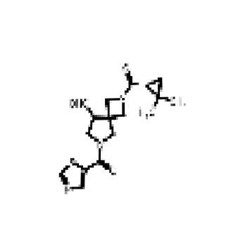 CC1(C)C[C@@H]1C(=O)N1CC2(CN(C(=O)c3cncs3)CC2C=O)C1